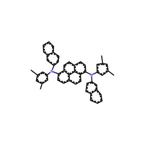 Cc1cc(C)cc(N(c2ccc3ccccc3c2)c2ccc3ccc4c(N(c5cc(C)cc(C)c5)c5ccc6ccccc6c5)ccc5ccc2c3c54)c1